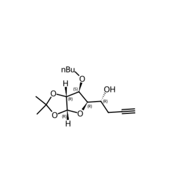 C#CC[C@@H](O)[C@H]1O[C@@H]2OC(C)(C)O[C@@H]2[C@H]1OCCCC